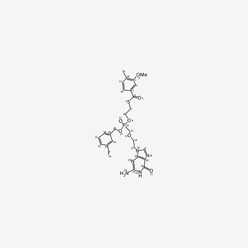 COc1cc(C(=O)SCCOP(=O)(COCCn2cnc3c(=O)[nH]c(N)nc32)OCc2cccc(F)c2)ccc1C